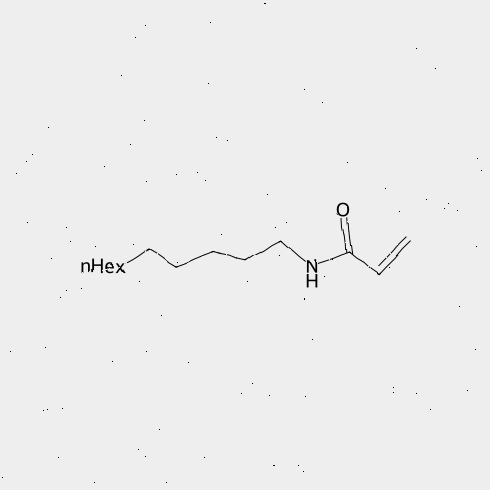 C=CC(=O)NCCCCCCCCCCC